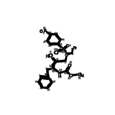 CC(C)CN(CC(O)[C@H](Cc1ccccc1)NC(=O)OC(C)(C)C)S(=O)(=O)c1ccc([N+](=O)[O-])cc1